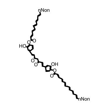 CCCCCCCCCC=CC=CC=CC=CC=CC=CC(=O)Oc1ccc(C=CC(=O)CC(=O)C=Cc2ccc(OC(=O)C=CC=CC=CC=CC=CCCCCCCCCC)c(O)c2)cc1O